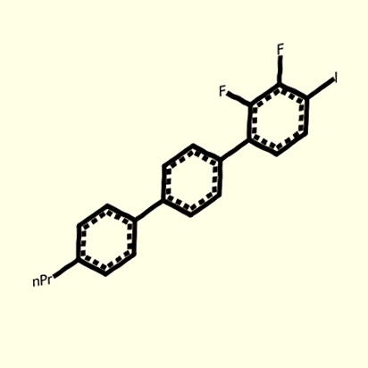 CCCc1ccc(-c2ccc(-c3ccc(I)c(F)c3F)cc2)cc1